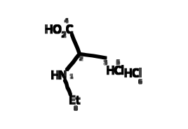 CCNC(C)C(=O)O.Cl.Cl